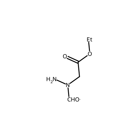 CCOC(=O)CN(N)[C]=O